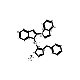 C1=CC(Cc2ccccc2)=[C]([Hf+2][CH]2C(n3ccc4ccccc43)=Cc3ccccc32)C1.[Cl-].[Cl-]